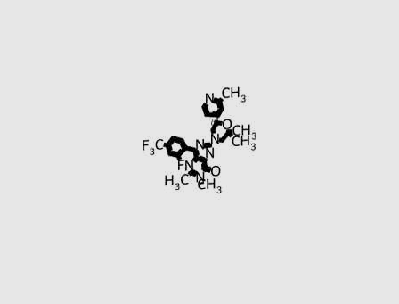 Cc1cc([C@H]2CN(c3nc(-c4ccc(C(F)(F)F)cc4F)c4nc(C)n(C)c(=O)c4n3)CC(C)(C)O2)ccn1